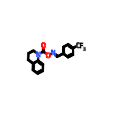 O=C(ON=Cc1ccc(C(F)(F)F)cc1)N1CCCc2ccccc21